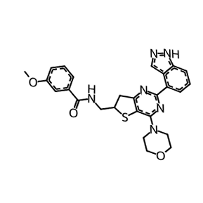 COc1cccc(C(=O)NCC2Cc3nc(-c4cccc5[nH]ncc45)nc(N4CCOCC4)c3S2)c1